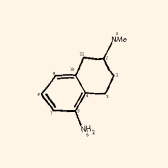 CNC1CCc2c(N)cccc2C1